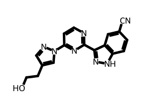 N#Cc1ccc2[nH]nc(-c3nccc(-n4cc(CCO)cn4)n3)c2c1